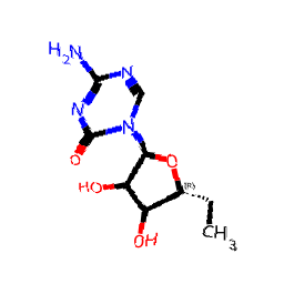 CC[C@H]1OC(n2cnc(N)nc2=O)C(O)C1O